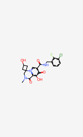 CN1CC2(CC(O)C2)n2cc(C(=O)NCc3cccc(Cl)c3F)c(=O)c(O)c2C1=O